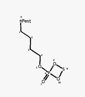 CCCCCCCCCOP1(=O)OSO1